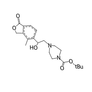 Cc1c(C(O)CN2CCN(C(=O)OC(C)(C)C)CC2)ccc2c1COC2=O